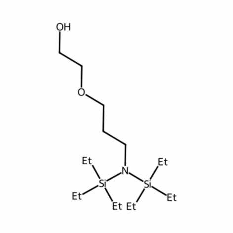 CC[Si](CC)(CC)N(CCCOCCO)[Si](CC)(CC)CC